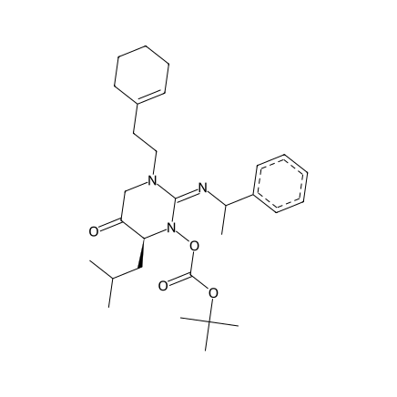 CC(C)C[C@H]1C(=O)CN(CCC2=CCCCC2)C(=NC(C)c2ccccc2)N1OC(=O)OC(C)(C)C